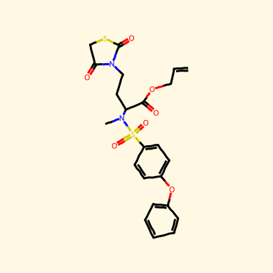 C=CCOC(=O)C(CCN1C(=O)CSC1=O)N(C)S(=O)(=O)c1ccc(Oc2ccccc2)cc1